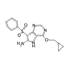 Nc1[nH]c2c(OCC3CC3)ncnc2c1S(=O)(=O)c1ccccc1